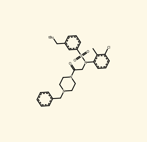 Cc1c(Cl)cccc1N(CC(=O)N1CCN(Cc2ccccc2)CC1)S(=O)(=O)c1cccc(CC(C)(C)C)c1